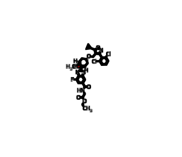 CCOC(=O)CNC(=O)c1cc(F)c2nc([C@]3(O)[C@H]4C[C@@H](OCc5c(-c6c(Cl)cccc6Cl)noc5C5CC5)C[C@@H]3[C@@H](C)C4)sc2c1